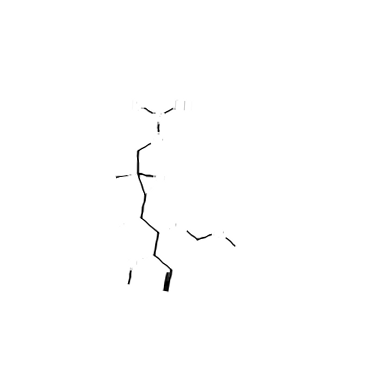 C=C[C@H](OC)[C@@H](OCOC)[C@H](C)[C@H]1O[C@@]1(C)COB(P)S